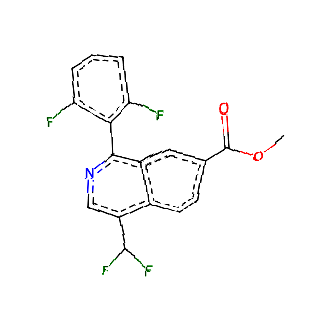 COC(=O)c1ccc2c(C(F)F)cnc(-c3c(F)cccc3F)c2c1